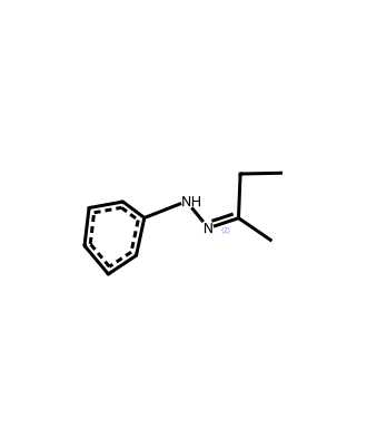 CC/C(C)=N\Nc1ccccc1